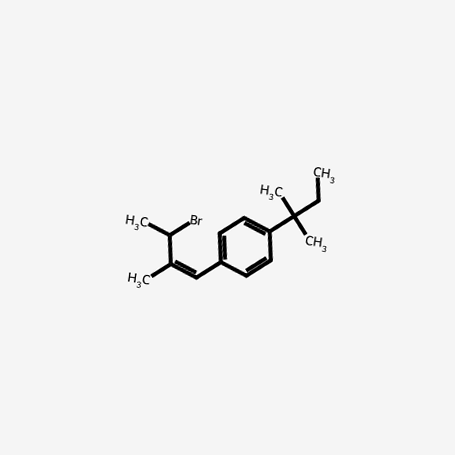 CCC(C)(C)c1ccc(C=C(C)C(C)Br)cc1